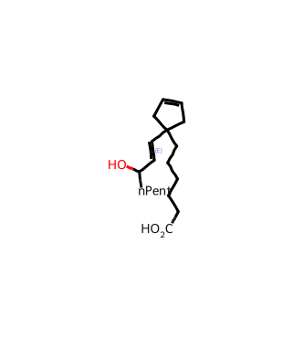 CCCCCC(O)/C=C/C1(CCCCCC(=O)O)CC=CC1